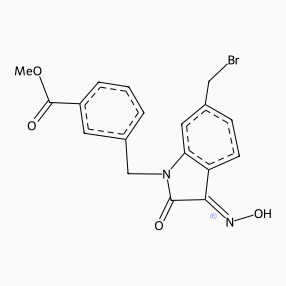 COC(=O)c1cccc(CN2C(=O)/C(=N/O)c3ccc(CBr)cc32)c1